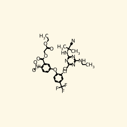 CCNc1nc(Cl)nc(NC(C)(C)C#N)n1.CCOC(=O)COC(=O)c1cc(Oc2ccc(C(F)(F)F)cc2Cl)ccc1[N+](=O)[O-]